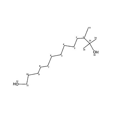 CC(CCCCCCCCCCO)C(C)(C)O